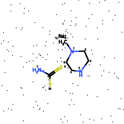 CN1CCNCC1.NC(=S)[S-].[Na+]